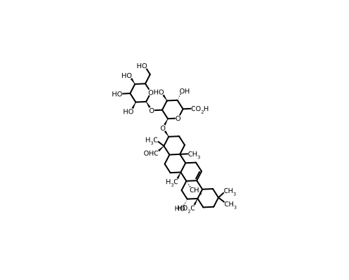 CC1(C)CC[C@@]2(C(=O)O)C(C1)C1=CCC3C4(C)CC[C@H](O[C@@H]5OC(C(=O)O)[C@@H](O)[C@H](O)C5O[C@@H]5OC(CO)[C@H](O)C(O)[C@@H]5O)[C@](C)(C=O)C4CC[C@@]3(C)[C@]1(C)C[C@H]2O